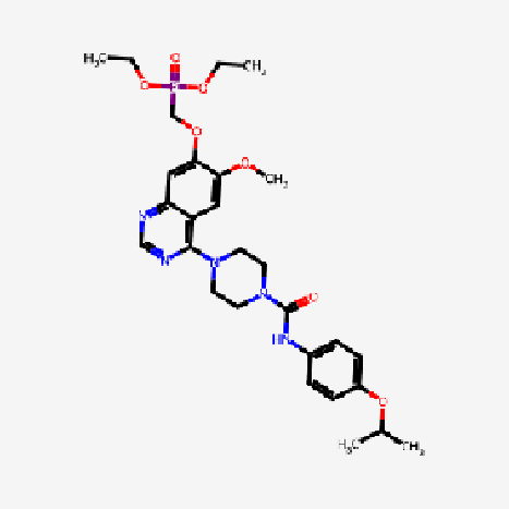 CCOP(=O)(COc1cc2ncnc(N3CCN(C(=O)Nc4ccc(OC(C)C)cc4)CC3)c2cc1OC)OCC